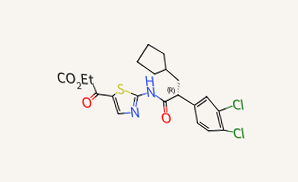 CCOC(=O)C(=O)c1cnc(NC(=O)[C@H](CC2CCCC2)c2ccc(Cl)c(Cl)c2)s1